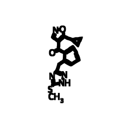 CSc1nc(Cc2ccccc2C(=O)c2cnoc2C2CC2)n[nH]1